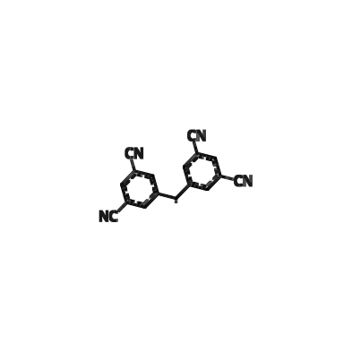 N#Cc1cc(C#N)cc([CH]c2cc(C#N)cc(C#N)c2)c1